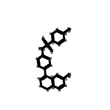 O=S(=O)(Nc1ccc(C2=NCCc3ccc(Cl)cc32)cc1)c1ccc(Br)cc1